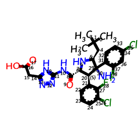 CC(C)(C)C[C@@H]1N[C@@H](C(=O)Nc2nnc(CC(=O)O)[nH]2)[C@H](c2cccc(Cl)c2F)[C@@]1(N)c1ccc(Cl)cc1F